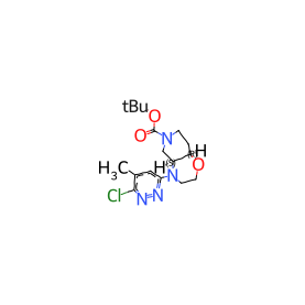 Cc1cc(N2CCO[C@@H]3CCN(C(=O)OC(C)(C)C)C[C@@H]32)nnc1Cl